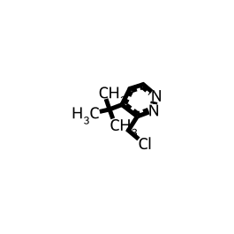 CC(C)(C)c1ccnnc1CCl